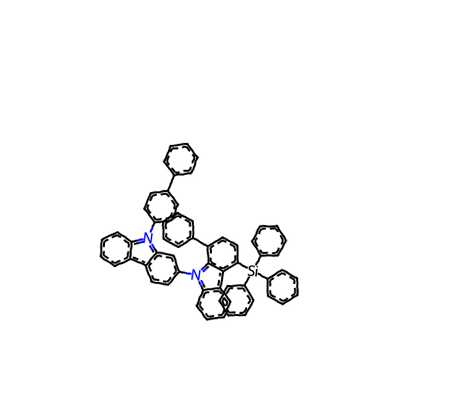 c1ccc(-c2ccc(-n3c4ccccc4c4ccc(-n5c6ccccc6c6c([Si](c7ccccc7)(c7ccccc7)c7ccccc7)ccc(-c7ccccc7)c65)cc43)cc2)cc1